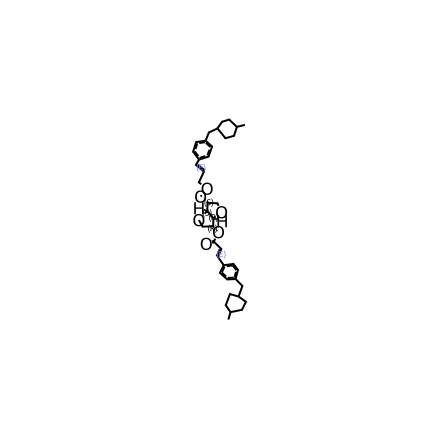 CC1CCC(Cc2ccc(/C=C/COO[C@H]3CO[C@H]4[C@@H]3OC[C@H]4OC(=O)/C=C/c3ccc(CC4CCC(C)CC4)cc3)cc2)CC1